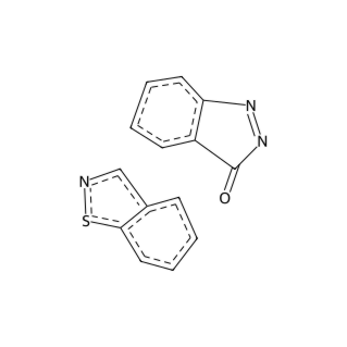 O=C1N=Nc2ccccc21.c1ccc2sncc2c1